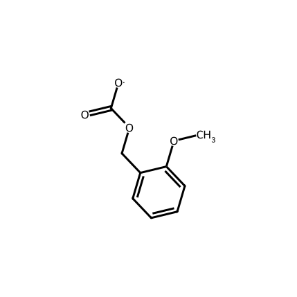 COc1ccccc1COC([O])=O